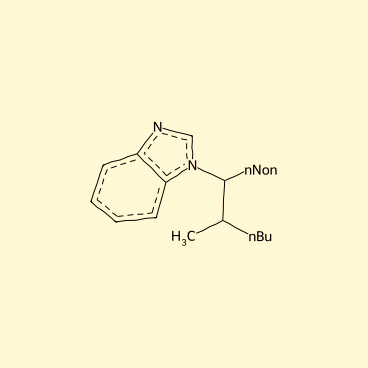 CCCCCCCCCC(C(C)CCCC)n1cnc2ccccc21